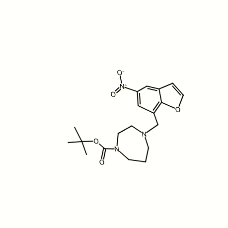 CC(C)(C)OC(=O)N1CCCN(Cc2cc([N+](=O)[O-])cc3ccoc23)CC1